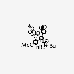 CCCCN(CCCC)C(=O)CN1C[C@H](c2ccc3c(c2)OCO3)[C@@H](C(=O)OC(C)OC(=O)OC2CC2)[C@@H]1c1ccc(OC)cc1